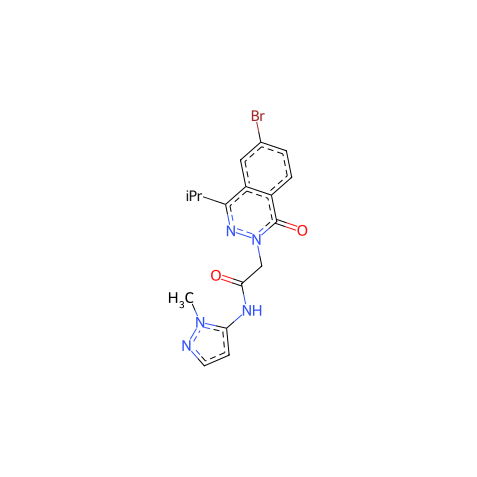 CC(C)c1nn(CC(=O)Nc2ccnn2C)c(=O)c2ccc(Br)cc12